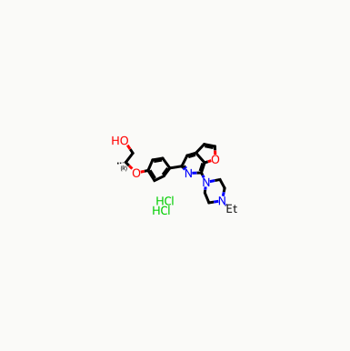 CCN1CCN(c2nc(-c3ccc(O[C@H](C)CO)cc3)cc3ccoc23)CC1.Cl.Cl